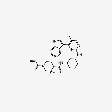 C=CC(=O)N1CCC(C(=O)N[C@H]2CCC[C@@H](Nc3ncc(Cl)c(-c4c[nH]c5ccccc45)n3)C2)C(F)(F)C1